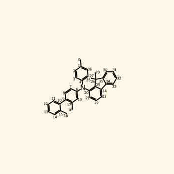 Cc1ccc(N(c2ccc(-c3ccccc3C)c(C)c2)c2cccc3c2C(C)(C)c2ccccc2-3)cc1